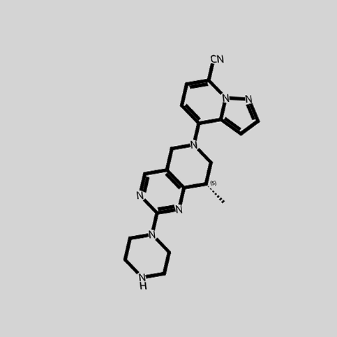 C[C@H]1CN(c2ccc(C#N)n3nccc23)Cc2cnc(N3CCNCC3)nc21